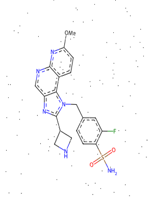 COc1ccc2c(ncc3nc(C4CNC4)n(Cc4ccc(S(N)(=O)=O)c(F)c4)c32)n1